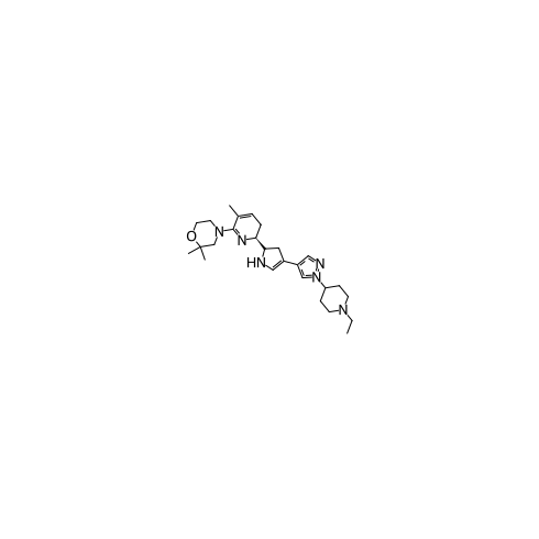 CCN1CCC(n2cc(C3=CNC([C@@H]4CC=C(C)C(N5CCOC(C)(C)C5)=N4)C3)cn2)CC1